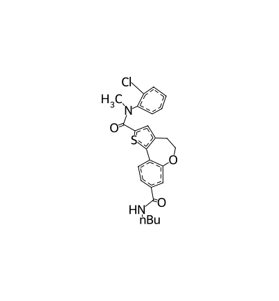 CCCCNC(=O)c1ccc2c(c1)OCCc1cc(C(=O)N(C)c3ccccc3Cl)sc1-2